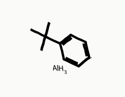 CC(C)(C)c1cc[c]cc1.[AlH3]